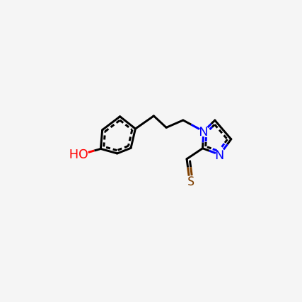 Oc1ccc(CCCn2ccnc2C=S)cc1